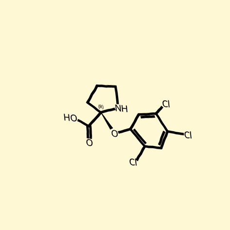 O=C(O)[C@]1(Oc2cc(Cl)c(Cl)cc2Cl)CCCN1